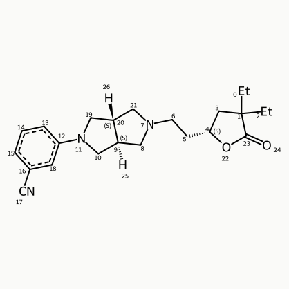 CCC1(CC)C[C@@H](CCN2C[C@H]3CN(c4cccc(C#N)c4)C[C@@H]3C2)OC1=O